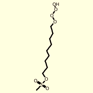 CS(=O)(=O)OCCCCCCCCCOOOO